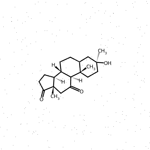 C[C@]1(O)CC[C@@]2(C)C(CC[C@@H]3[C@@H]2C(=O)C[C@]2(C)C(=O)CC[C@@H]32)C1